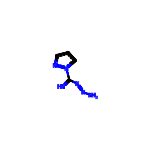 N=C(N=NN)n1cccn1